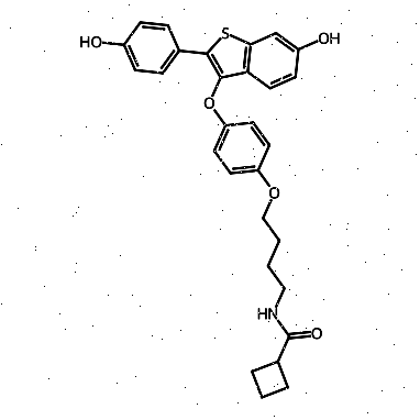 O=C(NCCCCOc1ccc(Oc2c(-c3ccc(O)cc3)sc3cc(O)ccc23)cc1)C1CCC1